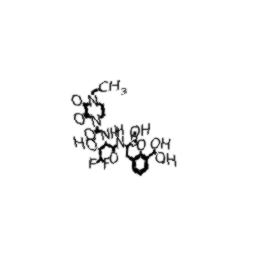 CCN1CCN(C(=O)N[C@H](C(=O)N[C@H]2Cc3cccc(C(O)O)c3OB2O)[C@H](O)C(F)F)C(=O)C1=O